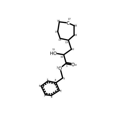 O=C(OCc1ccccc1)C(O)CC1CCCCCC1